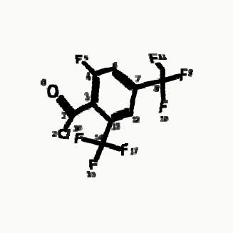 O=C(Cl)c1c(F)cc(C(F)(F)F)cc1C(F)(F)F